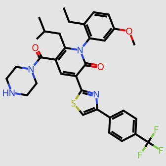 CCc1ccc(OC)cc1-n1c(CC(C)C)c(C(=O)N2CCNCC2)cc(-c2nc(-c3ccc(C(F)(F)F)cc3)cs2)c1=O